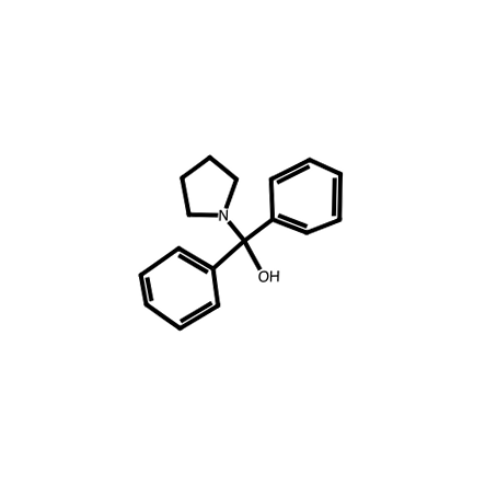 OC(c1ccccc1)(c1ccccc1)N1CCCC1